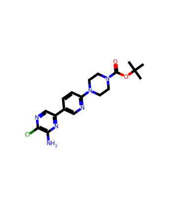 CC(C)(C)OC(=O)N1CCN(c2ccc(-c3cnc(Cl)c(N)n3)cn2)CC1